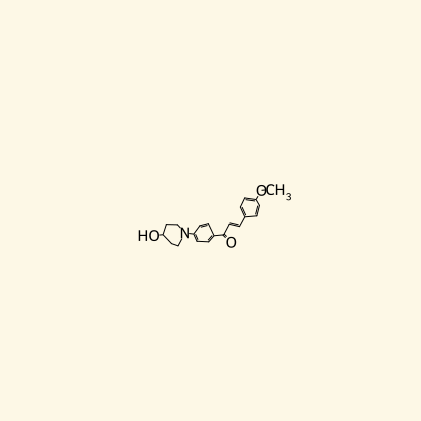 COc1ccc(/C=C/C(=O)c2ccc(N3CCC(O)CC3)cc2)cc1